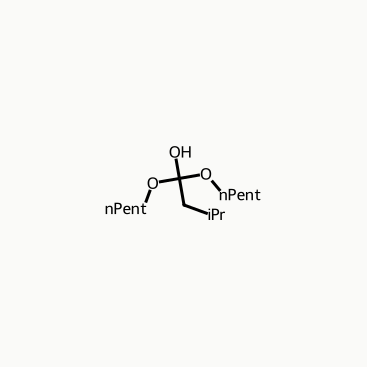 CCCCCOC(O)(CC(C)C)OCCCCC